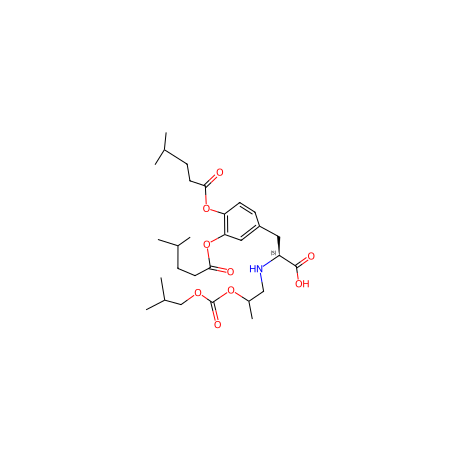 CC(C)CCC(=O)Oc1ccc(C[C@H](NCC(C)OC(=O)OCC(C)C)C(=O)O)cc1OC(=O)CCC(C)C